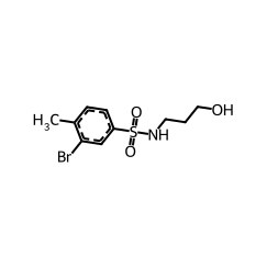 Cc1ccc(S(=O)(=O)NCCCO)cc1Br